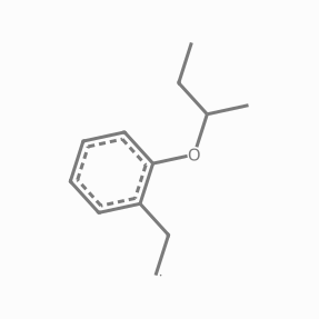 [CH2]Cc1ccccc1OC(C)CC